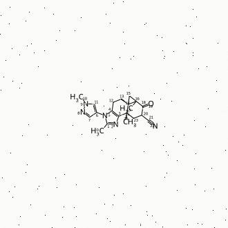 Cc1nc2c(n1-c1cnn(C)c1)CC[C@@]13CC1(C)C(=O)C(C#N)C[C@]23C